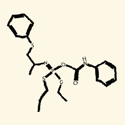 CCCSP(=NC(C)CSc1ccccc1)(OCC)OC(=O)Nc1ccccc1